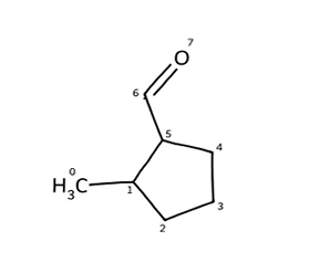 CC1CCCC1[C]=O